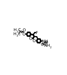 CN(C)C(=O)Oc1ccc2c(CF)c(Cc3cccc(NS(N)(=O)=O)c3)c(=O)oc2c1